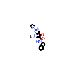 CCn1cc(C(=O)NC2CCc3ccccc32)c(=O)c2cnc(N3CCCC3)nc21